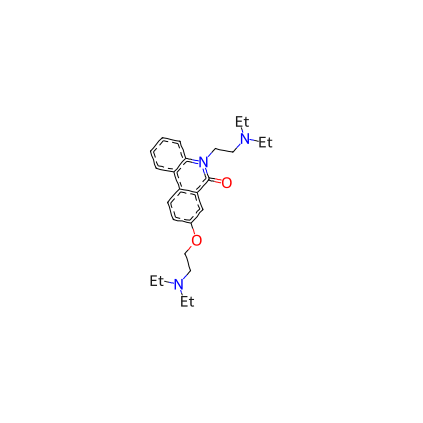 CCN(CC)CCOc1ccc2c(c1)c(=O)n(CCN(CC)CC)c1ccccc21